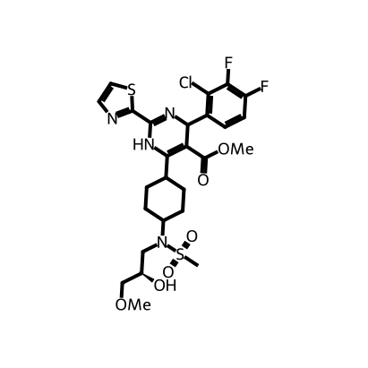 COC[C@H](O)CN(C1CCC(C2=C(C(=O)OC)C(c3ccc(F)c(F)c3Cl)N=C(c3nccs3)N2)CC1)S(C)(=O)=O